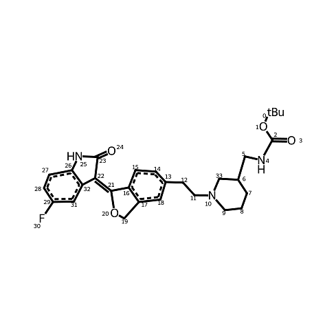 CC(C)(C)OC(=O)NCC1CCCN(CCc2ccc3c(c2)COC3=C2C(=O)Nc3ccc(F)cc32)C1